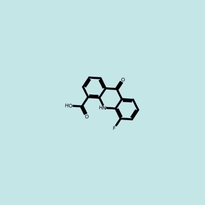 O=C(O)c1cccc2c(=O)c3cccc(F)c3[nH]c12